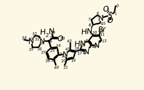 CCS(=O)(=O)N1CC[C@H](Nc2c(Br)cnc3nc(-c4cc(C)n(-c5cc(C(C(N)=O)N6CCN(C)CC6)ccc5C)c4C)[nH]c23)C1